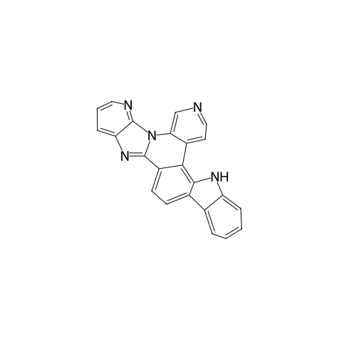 c1cnc2c(c1)nc1c3ccc4c5ccccc5[nH]c4c3c3ccncc3n21